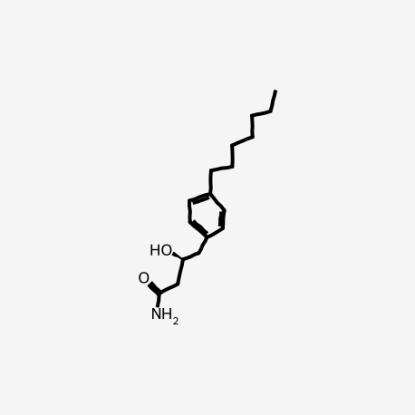 CCCCCCCc1ccc(C[C@H](O)CC(N)=O)cc1